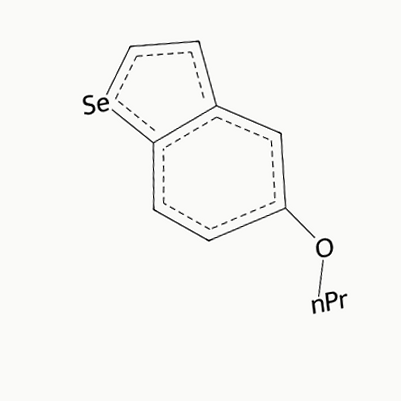 CCCOc1ccc2[se]ccc2c1